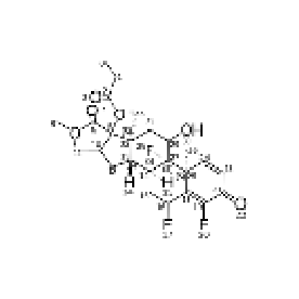 CCC(=O)OC1(C(=O)OC)C(C)C[C@H]2[C@@H]3CC(F)C4=C(F)C(=O)C=C[C@]4(C)[C@]3(F)C(O)C[C@@]21C